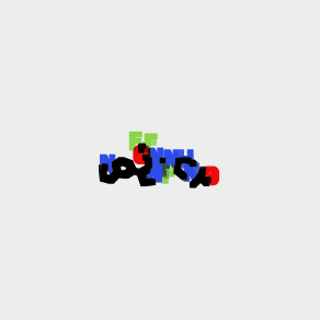 CC1(N2CC[C@H](Nc3nc(OC(F)F)c4c(-c5ccc6ncccc6c5)ccn4n3)[C@H](F)C2)COC1